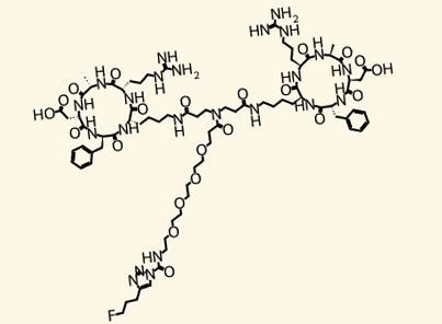 C[C@@H]1NC(=O)[C@H](CCCNC(=N)N)NC(=O)[C@H](CCCCNC(=O)CCN(CCC(=O)NCCCC[C@@H]2NC(=O)[C@@H](Cc3ccccc3)NC(=O)[C@H](CC(=O)O)NC(=O)[C@H](C)NC(=O)[C@H](CCCNC(=N)N)NC2=O)C(=O)CCOCCOCCOCCOCCNC(=O)n2cc(CCCF)nn2)NC(=O)[C@@H](Cc2ccccc2)NC(=O)[C@H](CC(=O)O)NC1=O